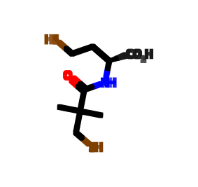 CC(C)(CS)C(=O)N[C@@H](CCS)C(=O)O